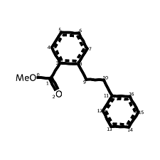 COC(=O)c1ccccc1CCc1ccccc1